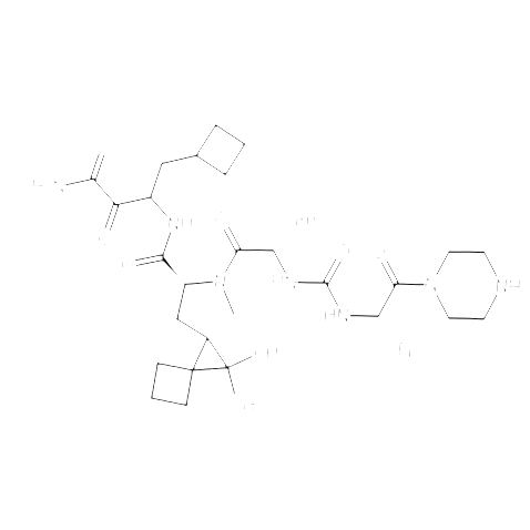 CC(C)[C@H](NC(=O)N[C@H](C(=O)N1C[C@]2(C[C@H]1C(=O)NC(CC1CCC1)C(=O)C(N)=O)C(C)(C)C21CCC1)C(C)(C)C)C(=O)N1CCNCC1